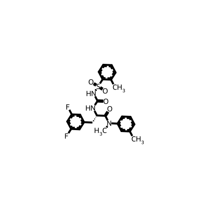 Cc1cccc(N(C)C(=O)[C@H](Cc2cc(F)cc(F)c2)NC(=O)NS(=O)(=O)c2ccccc2C)c1